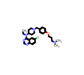 CCN(c1ncnc2ccc(Cl)cc12)C1CCN(Cc2ccc(OCCCN(C)C)cc2)CC1